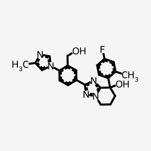 Cc1cn(-c2ccc(-c3nc4n(n3)CCCC4(O)c3ccc(F)cc3C)cc2CO)cn1